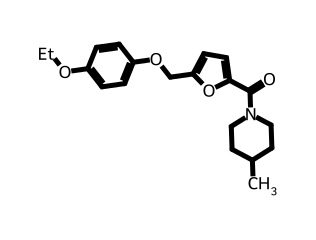 CCOc1ccc(OCc2ccc(C(=O)N3CCC(C)CC3)o2)cc1